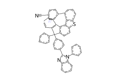 C=CC1=C(/C=C\C)c2c(ccc3sc4cccc(-c5ccc(C#N)cc5)c4c23)C1(c1ccccc1)c1ccc(-c2nc3ccccc3n2-c2ccccc2)cc1